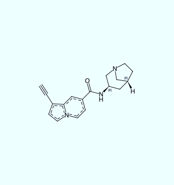 C#Cc1ccn2ccc(C(=O)N[C@@H]3C[C@H]4CCN(C4)C3)cc12